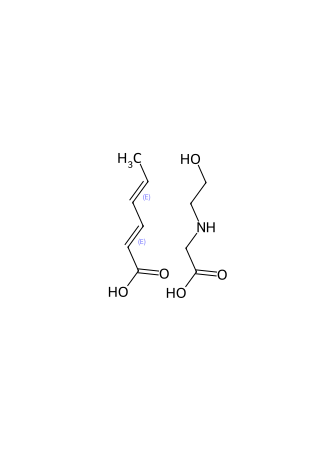 C/C=C/C=C/C(=O)O.O=C(O)CNCCO